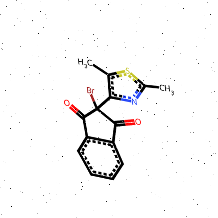 Cc1nc(C2(Br)C(=O)c3ccccc3C2=O)c(C)s1